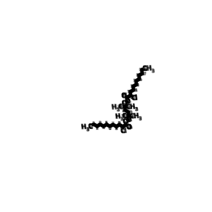 CCCCCCCCCCC(Cl)C(=O)OOC(C)(C)CCC(C)(C)OOC(=O)C(Cl)CCCCCCCCCC